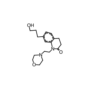 O=C1CCc2ccc(CCCO)cc2N1CCN1CCOCC1